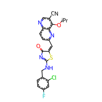 CC(C)Oc1c(C#N)cnc2ccc(C=C3SC(NCc4ccc(F)cc4Cl)=NC3=O)nc12